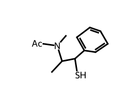 CC(=O)N(C)C(C)C(S)c1ccccc1